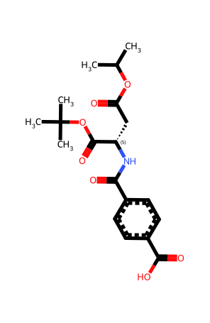 CC(C)OC(=O)C[C@H](NC(=O)c1ccc(C(=O)O)cc1)C(=O)OC(C)(C)C